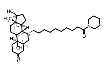 C[C@]12CCC(=O)C[C@@H]1C[C@@H](CCCCCCCCCC(=O)N1CCCCC1)[C@@H]1[C@@H]2CC[C@]2(C)[C@@H](O)CC[C@@H]12